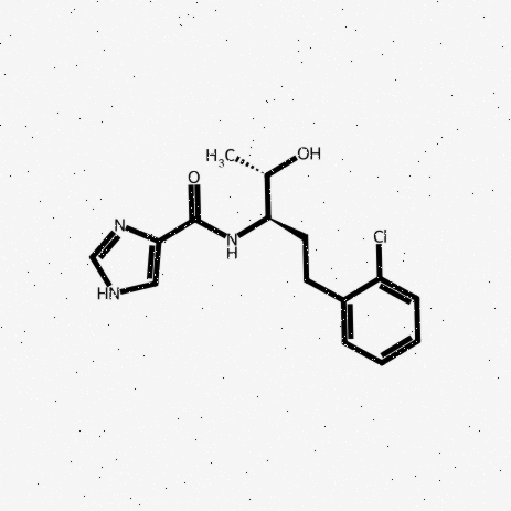 C[C@H](O)[C@@H](CCc1ccccc1Cl)NC(=O)c1c[nH]cn1